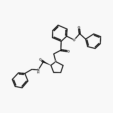 O=C(Oc1ccccc1C(=O)CN1CCC[C@H]1C(=O)NCc1ccccc1)c1ccccc1